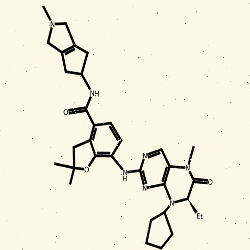 CC[C@@H]1C(=O)N(C)c2cnc(Nc3ccc(C(=O)NC4CC5=C(C4)CN(C)C5)c4c3OC(C)(C)C4)nc2N1C1CCCC1